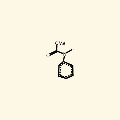 [CH2]N(C(=O)OC)c1ccccc1